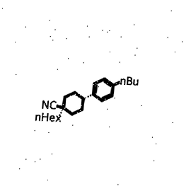 CCCCCC[C@]1(C#N)CC[C@H](c2ccc(CCCC)cc2)CC1